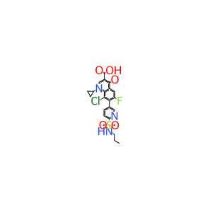 CCCNS(=O)(=O)c1ccc(-c2c(F)cc3c(=O)c(C(=O)O)cn(C4CC4)c3c2Cl)cn1